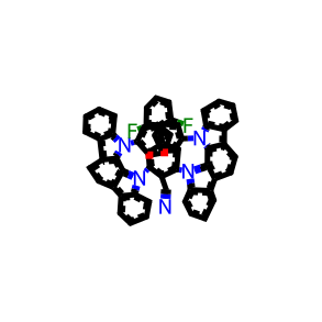 N#Cc1c(-n2c3ccccc3c3ccc4c5ccccc5n(-c5ccccc5)c4c32)cc(-c2c(F)cccc2F)cc1-n1c2ccccc2c2ccc3c4ccccc4n(-c4ccccc4)c3c21